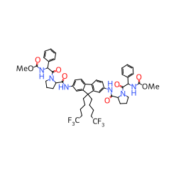 COC(=O)NC(C(=O)N1CCCC1C(=O)Nc1ccc2c(c1)C(CCCCC(F)(F)F)(CCCCC(F)(F)F)c1cc(NC(=O)C3CCCN3C(=O)C(NC(=O)OC)c3ccccc3)ccc1-2)c1ccccc1